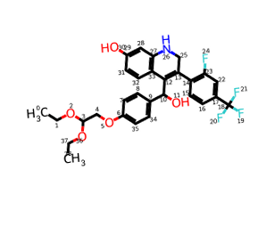 CCOC(COc1ccc(C(O)C2=C(c3ccc(C(F)(F)F)cc3F)CNc3cc(O)ccc32)cc1)OCC